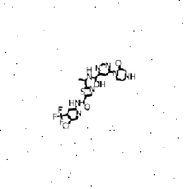 CC(NC(O)c1cc(N2CCNCC2=O)ncn1)c1ncc(C(=O)Nc2cc(C(F)(F)F)c(Cl)cn2)s1